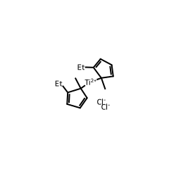 CCC1=CC=C[C]1(C)[Ti+2][C]1(C)C=CC=C1CC.[Cl-].[Cl-]